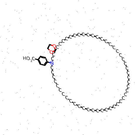 O=C(O)c1ccc(N2CCCCCCCCCCCCCCCCCCCCCCCCCCCCCCCCCCCCCCCCCCCCCCCCC3(CC2)OCCO3)cc1